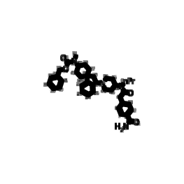 CCCN(C(=O)Cc1ccc(C(N)=O)cc1)C1CCN(CCC2(c3ccccc3)CCC(N(C)C(=O)OCc3ccccc3)CC2)CC1